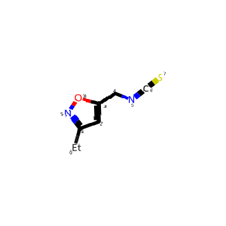 CCc1cc(CN=C=S)on1